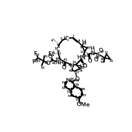 CC[C@@H]1C[C@H](C)CC/C=C\[C@@H]2C[C@@]2(C(=O)NS(=O)(=O)C2(C)CC2)NC(=O)[C@@H]2C[C@@H](Oc3nccc4cc(OC)ccc34)CN2C(=O)[C@H]1NC(=O)OC(C)(C)C(F)F